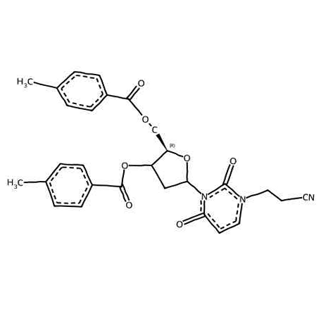 Cc1ccc(C(=O)OC[C@H]2OC(n3c(=O)ccn(CCC#N)c3=O)CC2OC(=O)c2ccc(C)cc2)cc1